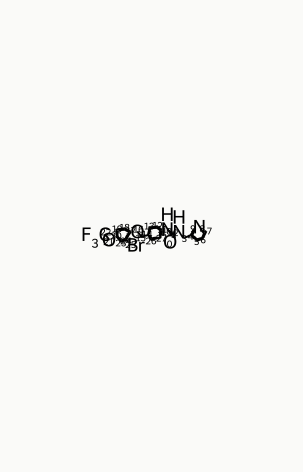 O=C(NCc1cccnc1)Nc1ccc(COc2ccc(OC(F)(F)F)cc2Br)cc1